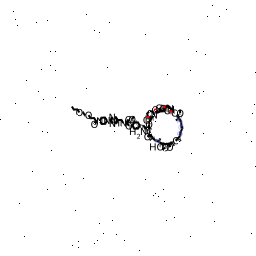 CCCOCCOCCC(=O)N1CCN(c2ncc(CNC(=O)O[C@@H]3CC[C@@H](C[C@@H](N)[C@@H]4CC(=O)[C@H](C)/C=C(\C)[C@@H](O)[C@@H](OC)C(=O)[C@H](C)C[C@H](C)/C=C/C=C/C=C(\C)[C@@H](OC)C[C@@H]5CC[C@@H](C)[C@@](O)(O5)C(=O)C(=O)N5CCCC[C@H]5C(=O)O4)C[C@H]3OC)cn2)CC1